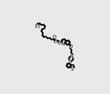 CC/C=C\C/C=C\C/C=C\C/C=C\CCCCC(=O)OCOc1ccc2ccc(OCCCCN3CCN(c4cccc5c4CCS5)CC3)cc2n1